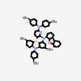 CC(C)(C)c1ccc(N(c2ccc(C(C)(C)C)cc2)c2ccc3c(n2)N(c2cccc4c2oc2ccccc24)c2cc(C(C)(C)C)cc4c2B3c2cc(C(C)(C)C)ccc2N4c2ccc(C(C)(C)C)cc2)cc1